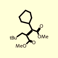 COC(=O)/C(CC(C)(C)C)=C(\C(=O)OC)C1CCCCC1